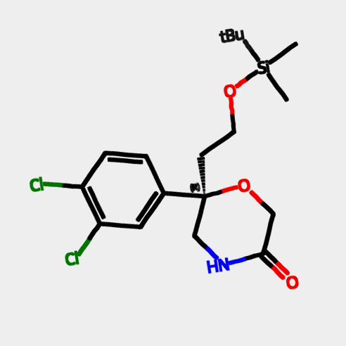 CC(C)(C)[Si](C)(C)OCC[C@@]1(c2ccc(Cl)c(Cl)c2)CNC(=O)CO1